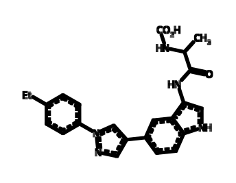 CCc1ccc(-n2cc(-c3ccc4[nH]cc(NC(=O)C(C)NC(=O)O)c4c3)cn2)cc1